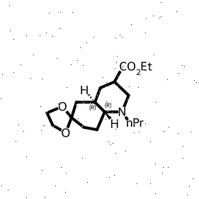 CCCN1CC(C(=O)OCC)C[C@@H]2CC3(CC[C@H]21)OCCO3